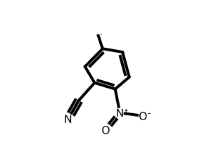 [CH2]c1ccc([N+](=O)[O-])c(C#N)c1